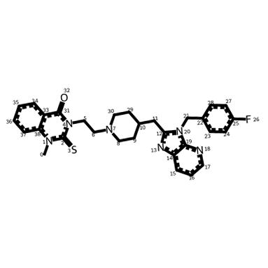 Cn1c(=S)n(CCN2CCC(Cc3nc4cccnc4n3Cc3ccc(F)cc3)CC2)c(=O)c2ccccc21